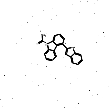 NC(=O)[C@@H]1c2ccccc2-c2c(-c3cc4ccccc4[nH]3)cccc21